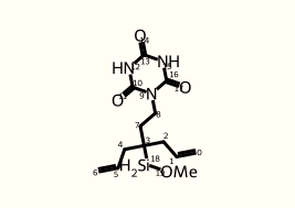 C=CCC(CC=C)(CCn1c(=O)[nH]c(=O)[nH]c1=O)[SiH2]OC